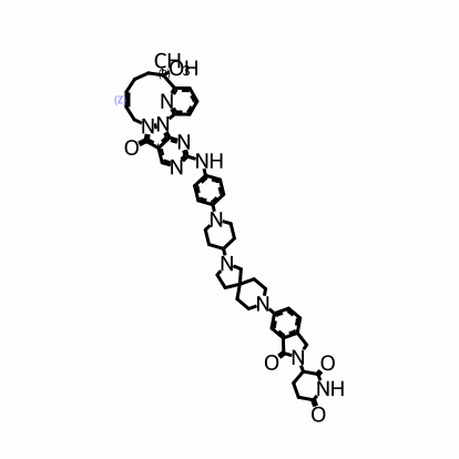 C[C@@]1(O)CC/C=C\Cn2c(=O)c3cnc(Nc4ccc(N5CCC(N6CCC7(CCN(c8ccc9c(c8)C(=O)N(C8CCC(=O)NC8=O)C9)CC7)C6)CC5)cc4)nc3n2-c2cccc1n2